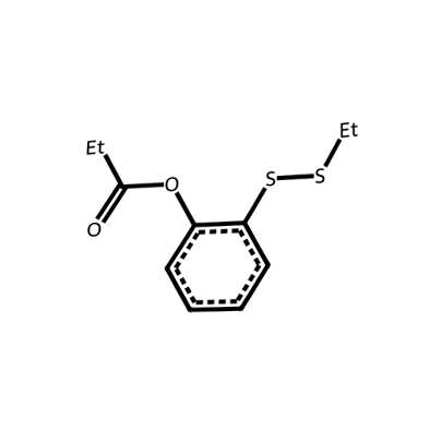 CCSSc1ccccc1OC(=O)CC